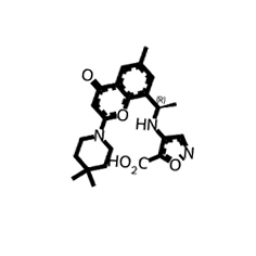 Cc1cc([C@@H](C)Nc2cnoc2C(=O)O)c2oc(N3CCC(C)(C)CC3)cc(=O)c2c1